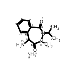 CC(C)N1C(=O)c2ccccc2C(N)C(=O)N1C.N